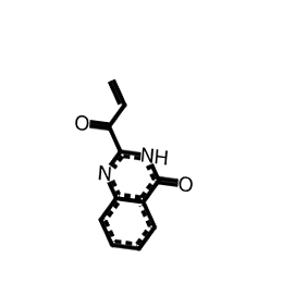 C=CC(=O)c1nc2ccccc2c(=O)[nH]1